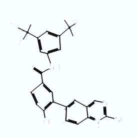 Cc1ccc(C(=O)Nc2cc(C(F)(F)F)cc(C(F)(F)F)c2)cc1-c1ccc2nc(N)ncc2c1